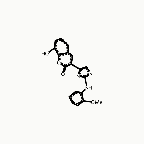 COc1ccccc1Nc1nc(-c2cc3cccc(O)c3oc2=O)cs1